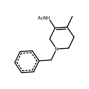 CC(=O)NC1=C(C)CCN(Cc2ccccc2)C1